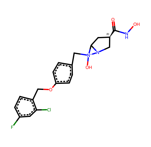 O=C(NO)[C@@H]1CC2N(C1)[N+]2(O)Cc1ccc(OCc2ccc(F)cc2Cl)cc1